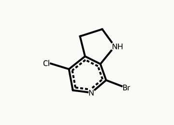 Clc1cnc(Br)c2c1CCN2